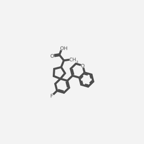 CC(C(=O)O)C1CCC2(CC(F)=CC=C2C2=CCOc3ccccc32)C1